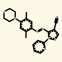 Cc1cc(N2CCOCC2)c(C)cc1/N=N/c1c(C#N)cnn1-c1ccccn1